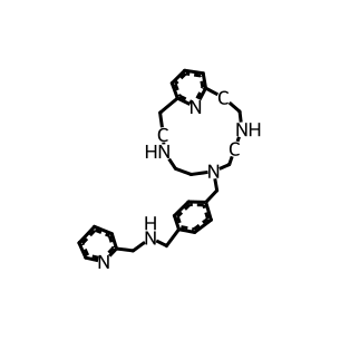 c1ccc(CNCc2ccc(CN3CCNCCc4cccc(n4)CCNCC3)cc2)nc1